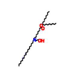 CCCCC/C=C/C/C=C/CCCCCCCCN(CCO)CCCCCCCC(=O)OC(CCCCCCCC)CCCCCCCC